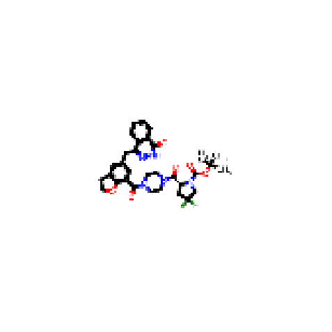 CC(C)(C)OC(=O)N1CC(F)(F)C[C@H]1C(=O)N1CCN(C(=O)c2cc(Cc3n[nH]c(=O)c4ccccc34)cc3c2OCC3)CC1